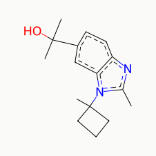 Cc1nc2ccc(C(C)(C)O)cc2n1C1(C)CCC1